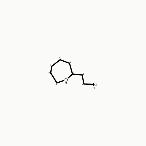 BrCCC1CCCCCO1